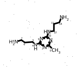 Cc1nc(NCCCN)nc(NCCCN)n1